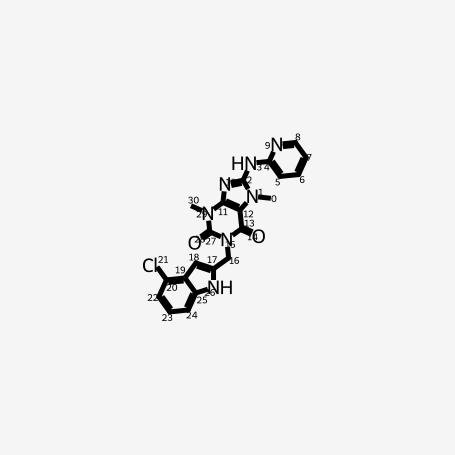 Cn1c(Nc2ccccn2)nc2c1c(=O)n(Cc1cc3c(Cl)cccc3[nH]1)c(=O)n2C